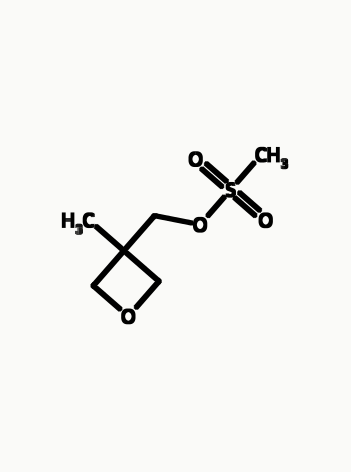 CC1(COS(C)(=O)=O)COC1